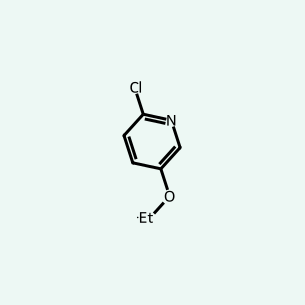 C[CH]Oc1ccc(Cl)nc1